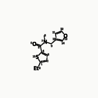 CCc1ccc(C(=O)N(C)Cc2ccoc2)s1